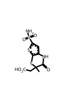 CC1(CC(=O)O)Sc2sc(S(N)(=O)=O)cc2NC1=O